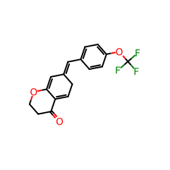 O=C1CCOC2=CC(=Cc3ccc(OC(F)(F)F)cc3)CC=C12